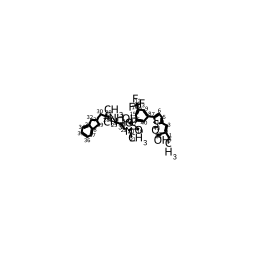 CCC(=Cc1ccc(-c2cc(C(F)(F)F)cc(S(=O)(=O)N(C)C[C@H](O)CNC(C)(C)CC3Cc4ccccc4C3)c2)s1)C(=O)O